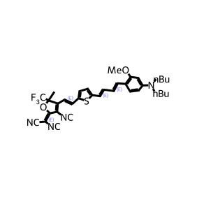 [C-]#[N+]C1=C(/C=C/c2ccc(/C=C/C=C/c3ccc(N(CCCC)CCCC)cc3OC)s2)C(C)(C(F)(F)F)O/C1=C(\C#N)[N+]#[C-]